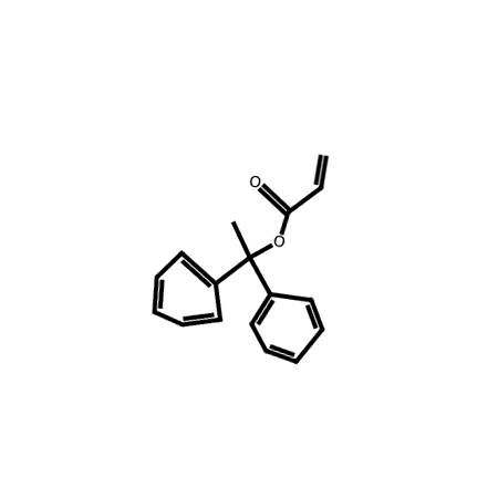 C=CC(=O)OC(C)(c1ccccc1)c1ccccc1